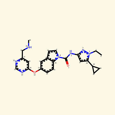 CCn1nc(NC(=O)n2ccc3cc(Oc4cc(CNC)ncn4)ccc32)cc1C1CC1